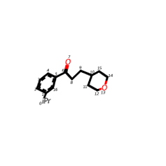 CC(C)c1cccc(C(=O)CCC2CCOCC2)c1